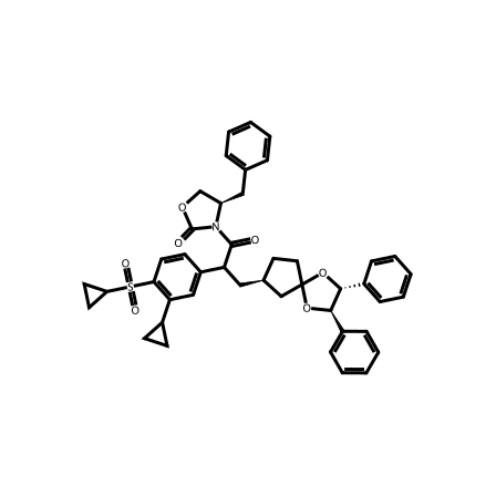 O=C1OC[C@@H](Cc2ccccc2)N1C(=O)C(C[C@H]1CCC2(C1)O[C@H](c1ccccc1)[C@@H](c1ccccc1)O2)c1ccc(S(=O)(=O)C2CC2)c(C2CC2)c1